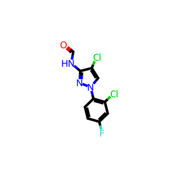 O=CNc1nn(-c2ccc(F)cc2Cl)cc1Cl